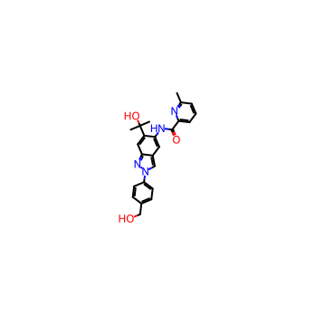 Cc1cccc(C(=O)Nc2cc3cn(-c4ccc(CO)cc4)nc3cc2C(C)(C)O)n1